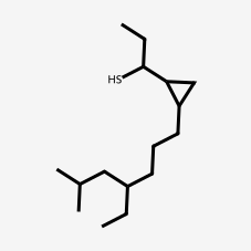 CCC(CCCC1CC1C(S)CC)CC(C)C